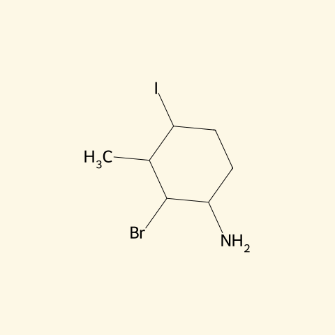 CC1C(I)CCC(N)C1Br